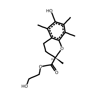 Cc1c(C)c2c(c(C)c1O)CC[C@@](C)(C(=O)OCCO)O2